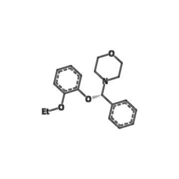 CCOc1ccccc1O[C@@H](c1ccccc1)N1CCOCC1